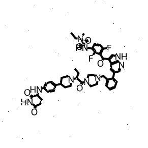 CCC(C(=O)N1CCN(Cc2ccccc2-c2cnc3[nH]cc(C(=O)c4c(F)ccc(NS(=O)(=O)N(C)CC)c4F)c3c2)CC1)N1CCC(c2ccc(NC3CCC(=O)NC3=O)cc2)CC1